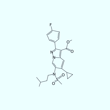 COC(=O)c1c(-c2ccc(F)cc2)nn2cc(N(CCC(C)C)S(C)(=O)=O)c(C3CC3)cc12